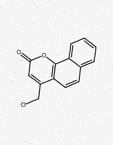 O=c1cc(CCl)c2ccc3ccccc3c2o1